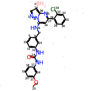 Bc1cnn2c(NCc3cccc(NC(=O)Nc4cccc(OC)c4)c3)cc(-c3ccccc3Cl)nc12